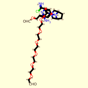 N=C(Cl)/C=C(\C(N)=C\COC=O)N1CC2CCC(C1)N2c1ccnc(OCCOCCOCCOCCOCCOCC=O)c1